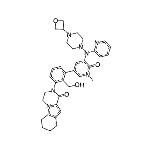 Cn1cc(-c2cccc(N3CCn4c(cc5c4CCCC5)C3=O)c2CO)cc(N(c2ccccn2)N2CCN(C3COC3)CC2)c1=O